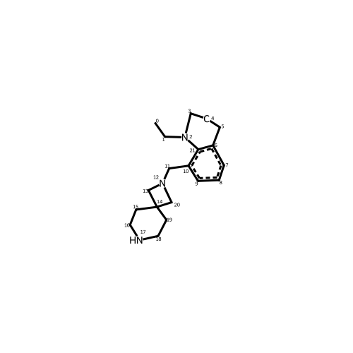 CCN1CCCc2cccc(CN3CC4(CCNCC4)C3)c21